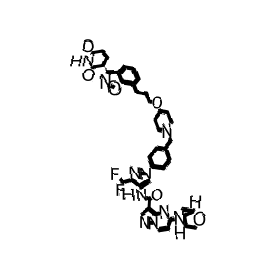 O=C1CC[C@H](c2noc3c(CCCOC4CCN(CC5CCC(n6cc(NC(=O)c7cnn8ccc(N9C[C@H]%10C[C@@H]9CO%10)nc78)c(C(F)F)n6)CC5)CC4)cccc23)C(=O)N1